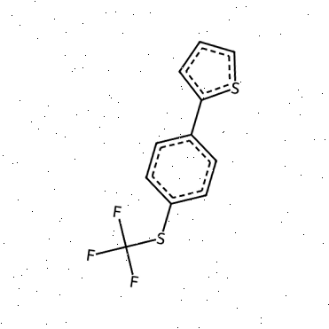 FC(F)(F)Sc1ccc(-c2cccs2)cc1